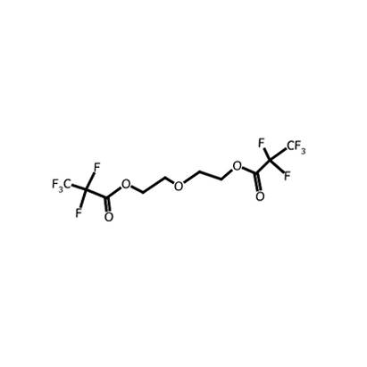 O=C(OCCOCCOC(=O)C(F)(F)C(F)(F)F)C(F)(F)C(F)(F)F